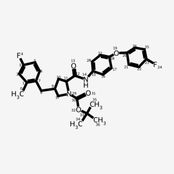 Cc1cc(F)ccc1CC1CC(C(=O)Nc2ccc(Oc3ccc(F)cc3)cc2)N(C(=O)OC(C)(C)C)C1